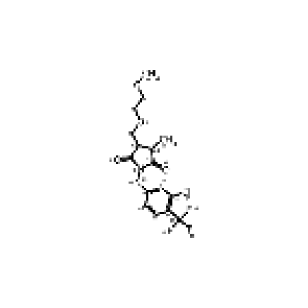 COCCOCC1C(=O)N(Nc2ccc(C(F)(F)F)c(Cl)n2)C(=O)C1C